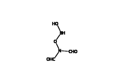 O=CN(C=O)OBO